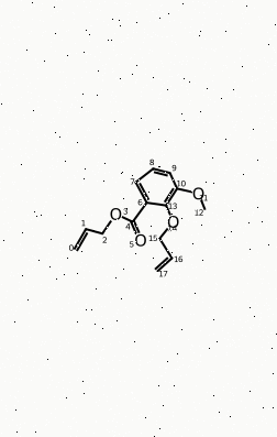 C=CCOC(=O)c1cccc(OC)c1OCC=C